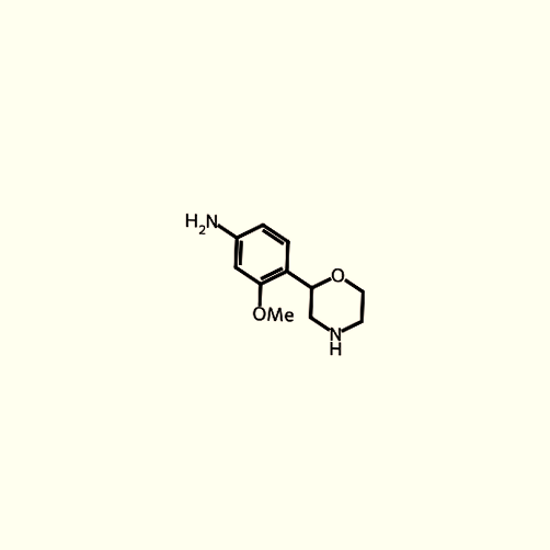 COc1cc(N)ccc1C1CNCCO1